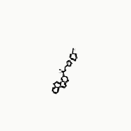 C1=CC=CNC=C1.O=C(CCC1CCCC1)C1C=c2c(ccc3c2=CCc2ccccc2-3)CC1